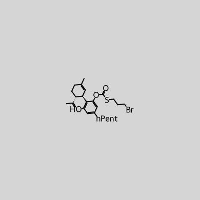 C=C(C)[C@@H]1CCC(C)=C[C@H]1c1c(O)cc(CCCCC)cc1OC(=O)SCCCBr